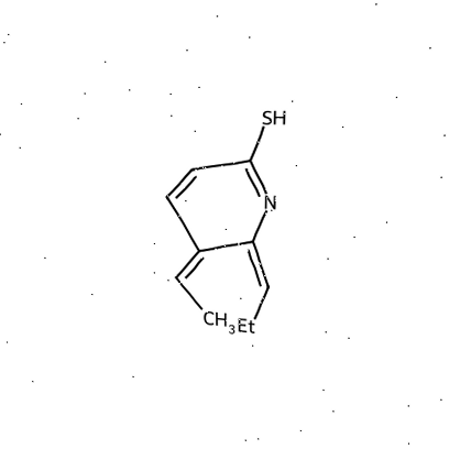 C/C=c1/ccc(S)n/c1=C/CC